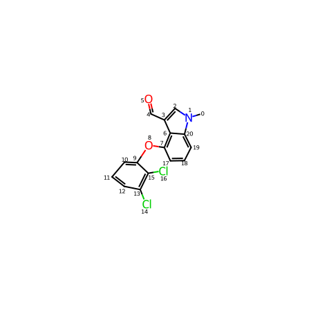 Cn1cc(C=O)c2c(Oc3cccc(Cl)c3Cl)cccc21